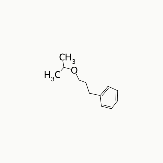 CC(C)OCCCc1ccccc1